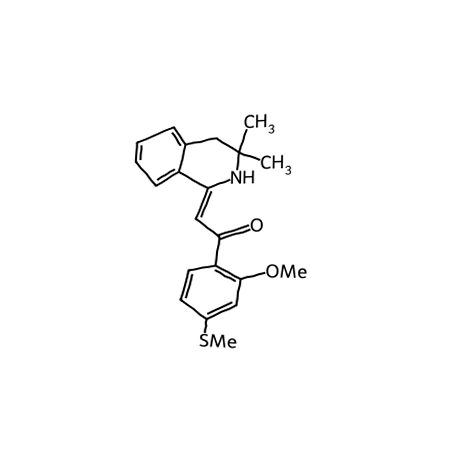 COc1cc(SC)ccc1C(=O)/C=C1\NC(C)(C)Cc2ccccc21